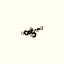 C[Si](C)(C)CCOCN1C(=O)C2(CC3(CCC(=O)CC3)C2)c2ncccc21